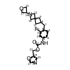 O=C(Nc1ccc(CC2CC3(C2)CN(C2COC2)C3)c(F)c1)OCc1cnco1